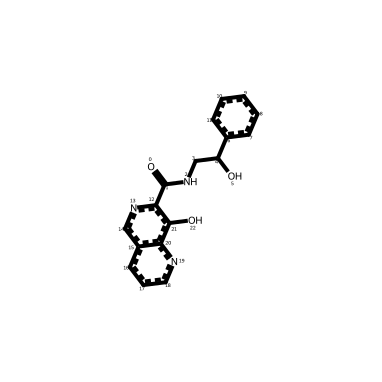 O=C(NCC(O)c1ccccc1)c1ncc2cccnc2c1O